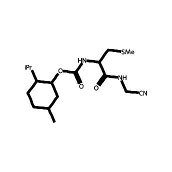 CSCC(NC(=O)OC1CC(C)CCC1C(C)C)C(=O)NCC#N